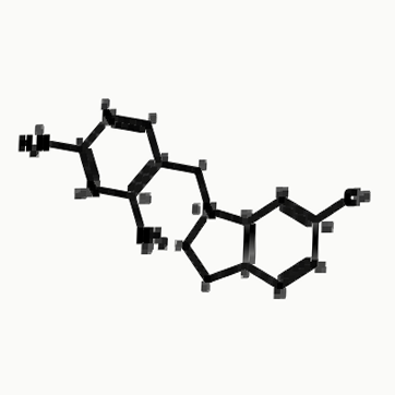 Nc1ncc(CN2CCc3ccc(Cl)cc32)c(N)n1